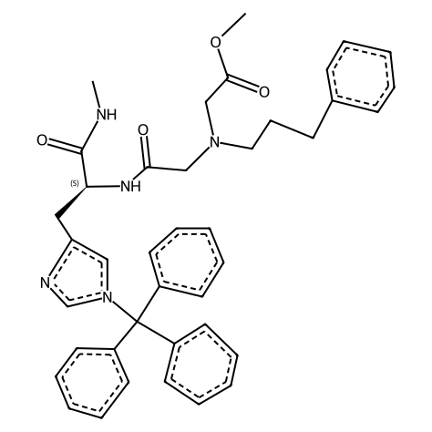 CNC(=O)[C@H](Cc1cn(C(c2ccccc2)(c2ccccc2)c2ccccc2)cn1)NC(=O)CN(CCCc1ccccc1)CC(=O)OC